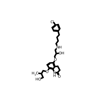 CC(CO)COc1ccc(OCC(O)CNCCCCc2ccc(Cl)cc2)c2c1NC(=O)CC2